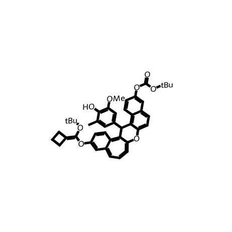 COc1cc(C2C3=c4ccc(OC(OC(C)(C)C)=C5CCC5)cc4=CC=C=C3Oc3ccc4cc(OC(=O)OC(C)(C)C)ccc4c32)cc(C)c1O